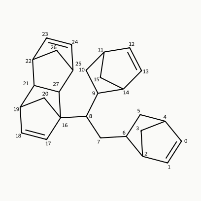 C1=CC2CC1CC2CC(C1CC2C=CC1C2)C12C=CC(C1)C1C3C=CC(C3)C12